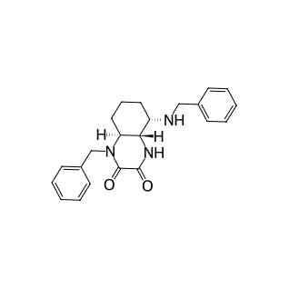 O=C1N[C@H]2[C@@H](NCc3ccccc3)CCC[C@@H]2N(Cc2ccccc2)C1=O